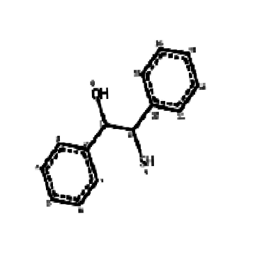 OC(c1ccccc1)C(S)c1ccccc1